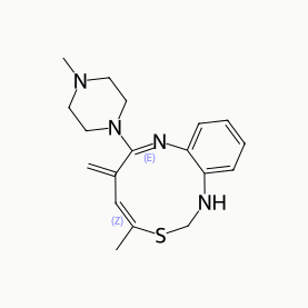 C=C1/C=C(/C)SCNc2ccccc2/N=C\1N1CCN(C)CC1